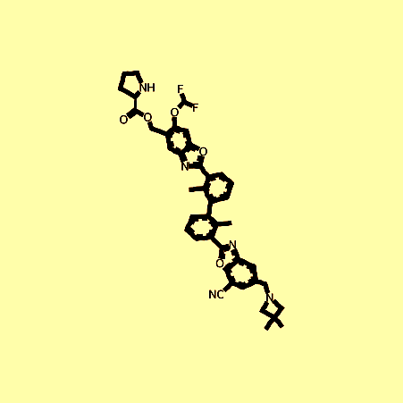 Cc1c(-c2nc3cc(COC(=O)[C@H]4CCCN4)c(OC(F)F)cc3o2)cccc1-c1cccc(-c2nc3cc(CN4CC(C)(C)C4)cc(C#N)c3o2)c1C